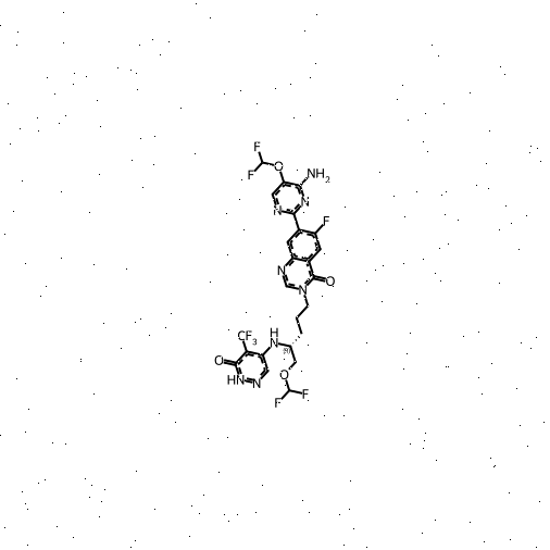 Nc1nc(-c2cc3ncn(CCC[C@H](COC(F)F)Nc4cn[nH]c(=O)c4C(F)(F)F)c(=O)c3cc2F)ncc1OC(F)F